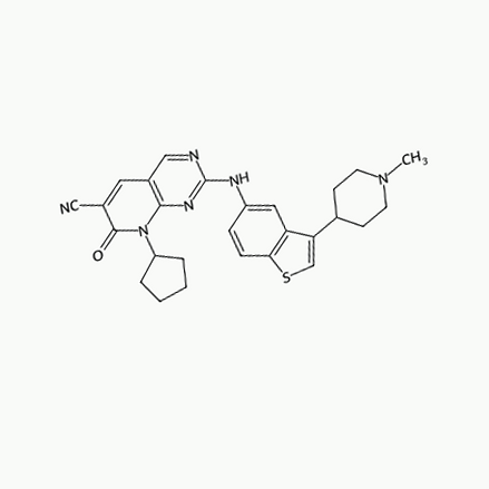 CN1CCC(c2csc3ccc(Nc4ncc5cc(C#N)c(=O)n(C6CCCC6)c5n4)cc23)CC1